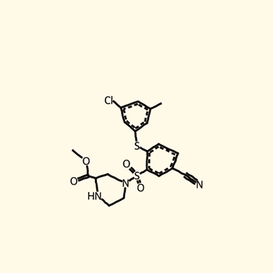 COC(=O)C1CN(S(=O)(=O)c2cc(C#N)ccc2Sc2cc(C)cc(Cl)c2)CCN1